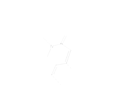 C=C(/C=C(C)\C=C/C)N(C)C